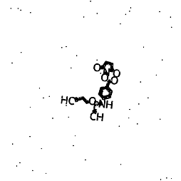 C#CCCOP(C#C)Nc1ccc(C(=O)ON2C(=O)CCC2=O)cc1